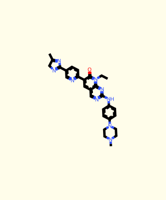 CCn1c(=O)c(-c2ccc(C3=NCC(C)=N3)cn2)cc2cnc(Nc3ccc(N4CCN(C)CC4)cc3)nc21